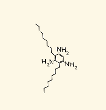 CCCCCCCCCc1c(N)cc(N)c(CCCCCCCCC)c1N